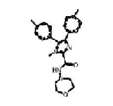 Cc1ccc(-c2nc(C(=O)NN3CCOCC3)n(C)c2-c2ccc(C)cc2)cc1